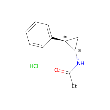 CCC(=O)N[C@H]1C[C@@H]1c1ccccc1.Cl